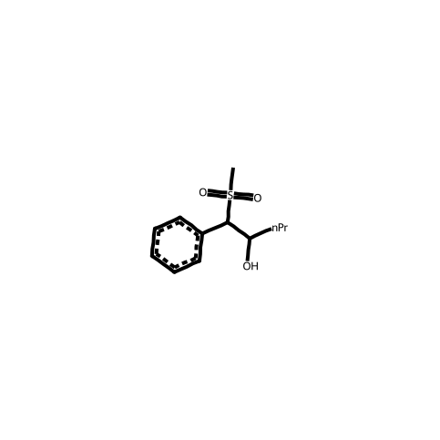 CCCC(O)C(c1ccccc1)S(C)(=O)=O